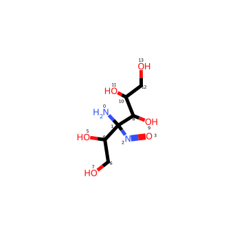 NC(N=O)(C(O)CO)C(O)C(O)CO